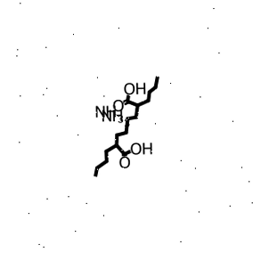 CCCCC(CCCCC(CCCC)C(=O)O)C(=O)O.N.N